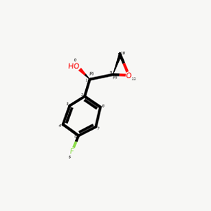 O[C@H](c1ccc(F)cc1)[C@H]1CO1